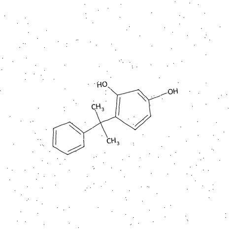 CC(C)(c1ccccc1)c1ccc(O)cc1O